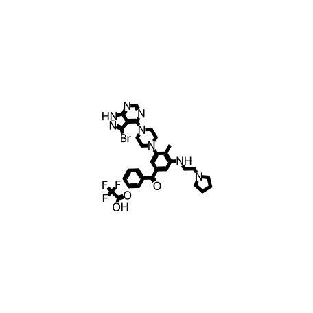 Cc1c(NCCN2CCCC2)cc(C(=O)c2ccccc2)cc1N1CCN(c2ncnc3[nH]nc(Br)c23)CC1.O=C(O)C(F)(F)F